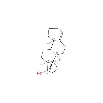 C[C@]12CCC3[C@@H](CCC4=CCCC[C@@]43C)[C@@H]1CC[C@@H]2O